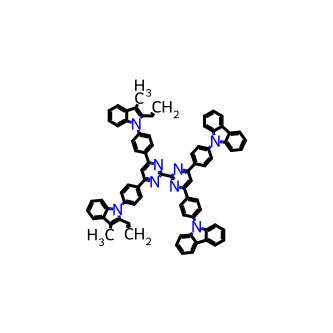 C=Cc1c(C)c2ccccc2n1-c1ccc(-c2cc(-c3ccc(-n4c(C=C)c(C)c5ccccc54)cc3)nc(-c3nc(-c4ccc(-n5c6ccccc6c6ccccc65)cc4)cc(-c4ccc(-n5c6ccccc6c6ccccc65)cc4)n3)n2)cc1